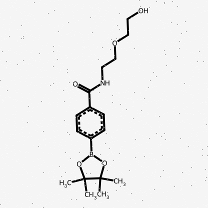 CC1(C)OB(c2ccc(C(=O)NCCOCCO)cc2)OC1(C)C